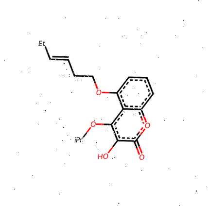 CCC=CCCOc1cccc2oc(=O)c(O)c(OC(C)C)c12